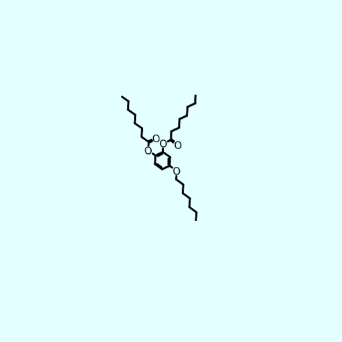 CCCCCCCOc1ccc(OC(=O)CCCCCCC)c(OC(=O)CCCCCCC)c1